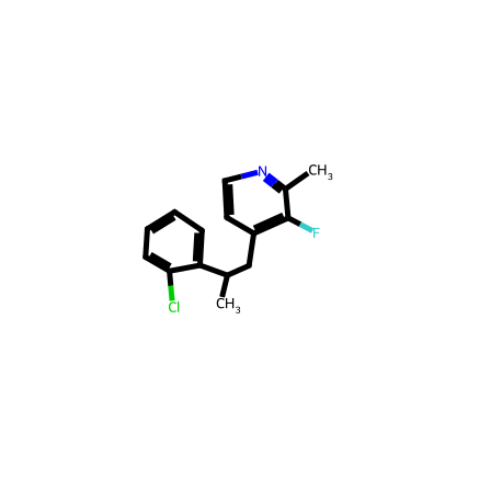 Cc1nccc(CC(C)c2ccccc2Cl)c1F